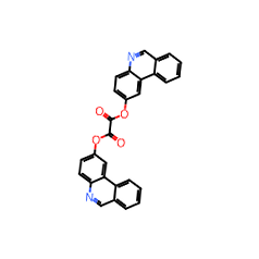 O=C(Oc1ccc2ncc3ccccc3c2c1)C(=O)Oc1ccc2ncc3ccccc3c2c1